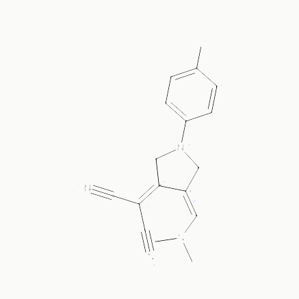 CN(C)/C=C1/CN(c2ccc(Br)cc2)CC1=C(C#N)C#N